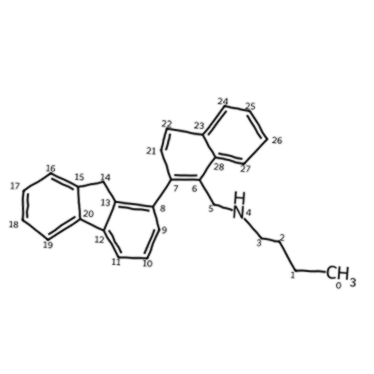 CCCCNCc1c(-c2cccc3c2Cc2ccccc2-3)ccc2ccccc12